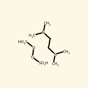 CN(C)CCN(C)C.O=S(=O)(O)OOS(=O)(=O)O